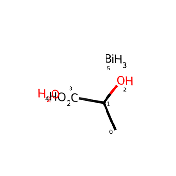 CC(O)C(=O)O.O.[BiH3]